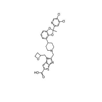 CC1(c2cc(Cl)c(Cl)cn2)Oc2cccc(C3CCN(Cc4nc5sc(C(=O)O)cc5n4CC4CCO4)CC3)c2O1